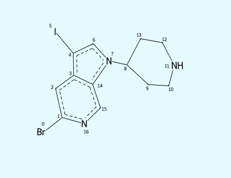 Brc1cc2c(I)cn(C3CCNCC3)c2cn1